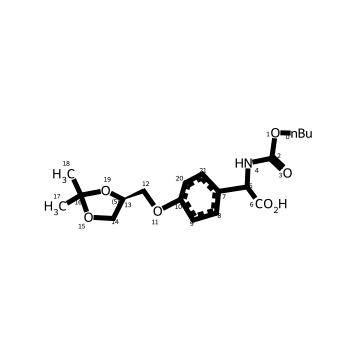 CCCCOC(=O)NC(C(=O)O)c1ccc(OC[C@H]2COC(C)(C)O2)cc1